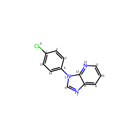 Clc1ccc(-n2[c]nc3cccnc32)cc1